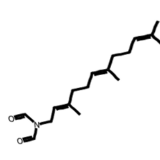 CC(C)=CCC/C(C)=C/CC/C(C)=C/CN(C=O)C=O